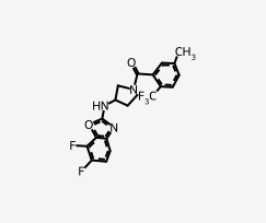 Cc1ccc(C(F)(F)F)c(C(=O)N2CCC(Nc3nc4ccc(F)c(F)c4o3)C2)c1